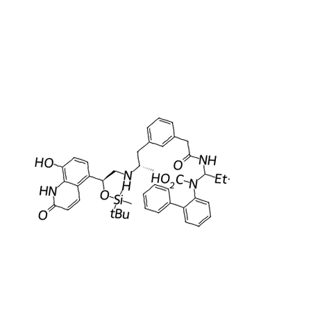 C[CH]C(NC(=O)Cc1cccc(C[C@H](C)NC[C@@H](O[Si](C)(C)C(C)(C)C)c2ccc(O)c3[nH]c(=O)ccc23)c1)N(C(=O)O)c1ccccc1-c1ccccc1